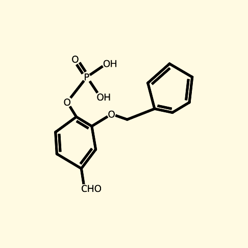 O=Cc1ccc(OP(=O)(O)O)c(OCc2ccccc2)c1